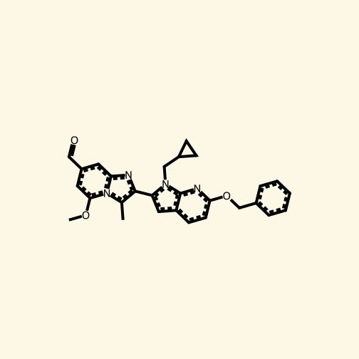 COc1cc(C=O)cc2nc(-c3cc4ccc(OCc5ccccc5)nc4n3CC3CC3)c(C)n12